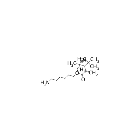 C=C(C(=O)OCCCCCCN)C(C(C)(C)C)C(C)(C)C